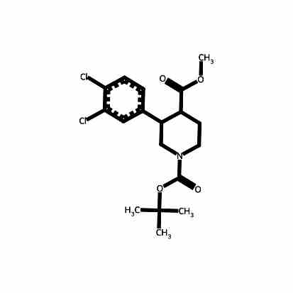 COC(=O)C1CCN(C(=O)OC(C)(C)C)CC1c1ccc(Cl)c(Cl)c1